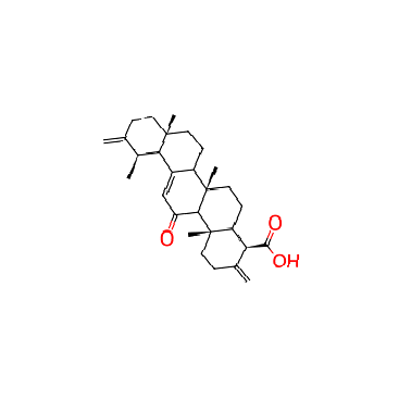 C=C1CC[C@@]2(C)C(CC[C@@]3(C)C4CC[C@@]5(C)CCC(=C)[C@H](C)C5C4=CC(=O)C32)[C@H]1C(=O)O